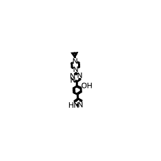 Oc1cc(-c2cn[nH]c2)ccc1-c1cnc(N2CCN(C3CC3)CC2)nn1